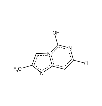 Oc1nc(Cl)cc2nc(C(F)(F)F)cn12